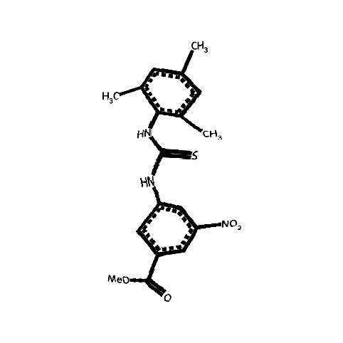 COC(=O)c1cc(NC(=S)Nc2c(C)cc(C)cc2C)cc([N+](=O)[O-])c1